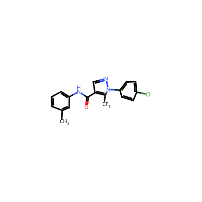 Cc1cccc(NC(=O)c2cnn(-c3ccc(Cl)cc3)c2C(F)(F)F)c1